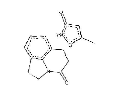 Cc1cc(=O)[nH]o1.O=C1CCc2cccc3c2N1CC3